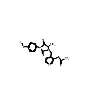 C[C@@H]1C(=O)N(c2ccc(SC(F)(F)F)cc2)C(=O)N1Cc1ccncc1OC(=O)C(F)(F)F